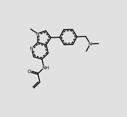 C=CC(=O)Nc1cnc2c(c1)c(-c1ccc(CN(C)C)cc1)cn2C